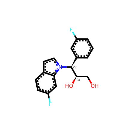 OC[C@@H](O)[C@H](c1cccc(F)c1)n1ccc2ccc(F)cc21